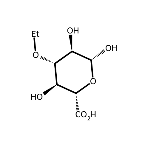 CCO[C@@H]1[C@@H](O)[C@H](O)O[C@H](C(=O)O)[C@H]1O